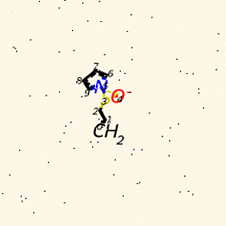 C=CC[S+]([O-])n1cccc1